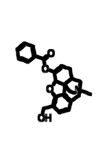 CN1CCC23c4c5ccc(CO)c4OC2C(OC(=O)c2ccccc2)=CCC3C1C5